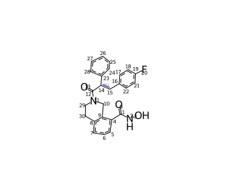 O=C(NO)c1cccc2c1CN(C(=O)/C(=C/c1ccc(F)cc1)c1ccccc1)CC2